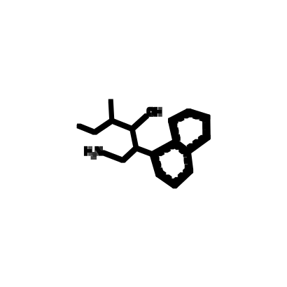 CCC(C)C(O)C(CN)c1cccc2ccccc12